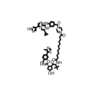 Cc1ncsc1-c1ccc([C@H](C)NC(=O)[C@@H]2C[C@@H](O)CC2C(=O)[C@@H](NC(=O)CCCCCCCCCCC(=O)N2CCN(C(=O)c3ccc(Nc4nc(C5CC5)cn5c(-c6cn[nH]c6)cnc45)c(F)c3)CC2)C(C)(C)C)cc1